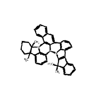 CC1(C)c2ccccc2-c2c1n1c3c(cccc23)-c2cc3ccccc3c3c2B1c1cccc2c1N3C1(C)CCCCC21C